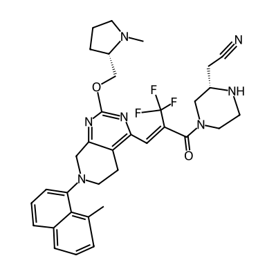 Cc1cccc2cccc(N3CCc4c(C=C(C(=O)N5CCN[C@@H](CC#N)C5)C(F)(F)F)nc(OC[C@@H]5CCCN5C)nc4C3)c12